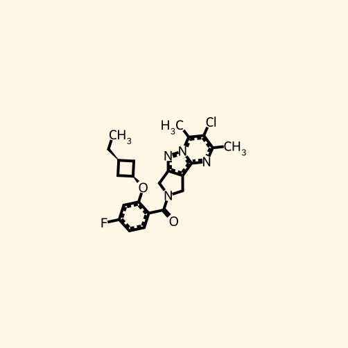 CC[C@H]1C[C@@H](Oc2cc(F)ccc2C(=O)N2Cc3nn4c(C)c(Cl)c(C)nc4c3C2)C1